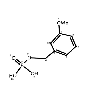 COc1cccc(COP(=O)(O)O)c1